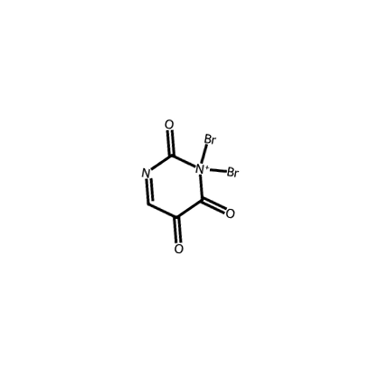 O=C1C=NC(=O)[N+](Br)(Br)C1=O